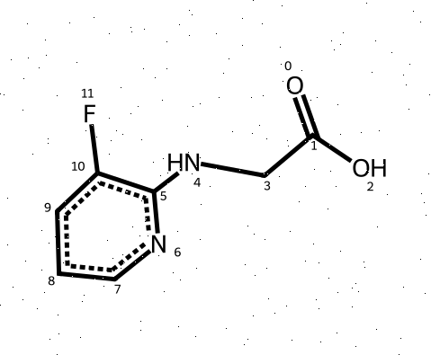 O=C(O)CNc1ncccc1F